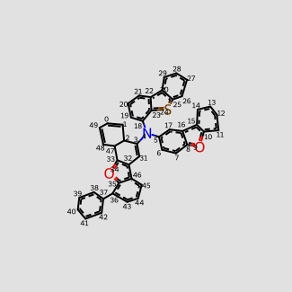 C1=CC2C(N(c3ccc4oc5ccccc5c4c3)c3cccc4c3sc3ccccc34)=Cc3c(oc4c(-c5ccccc5)cccc34)C2C=C1